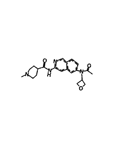 CC(=O)N(c1ccc2cnc(NC(=O)C3CCN(C)CC3)cc2c1)C1COC1